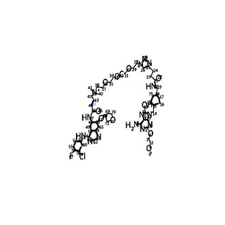 COCCOc1nc(N)c2nc(O)n(Cc3ccc(CNC(=O)CCc4cn(CCOCCOCCOCC[N+](C)(C)C/C=C/C(=O)Nc5cc6c(Nc7ccc(F)c(Cl)c7)ncnc6cc5O[C@@H]5CCOC5)nn4)cc3)c2n1